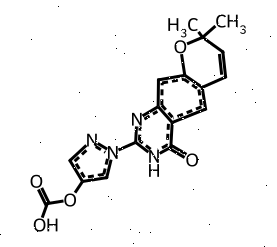 CC1(C)C=Cc2cc3c(=O)[nH]c(-n4cc(OC(=O)O)cn4)nc3cc2O1